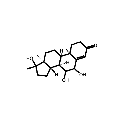 CC1(O)CC[C@H]2[C@@H]3C(O)C(O)C4=CC(=O)CC[C@]4(C)[C@@H]3CC[C@@]21C